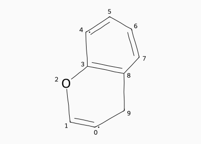 [C]1=COc2[c]cccc2C1